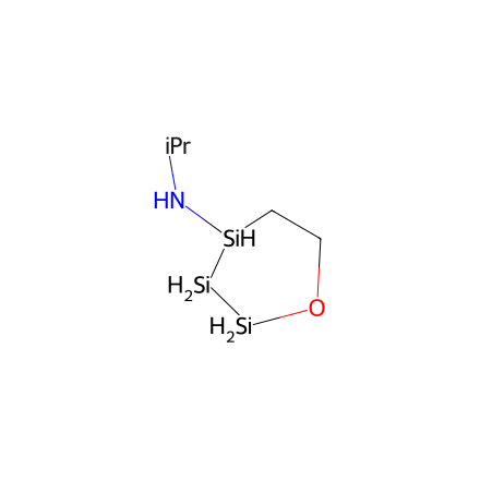 CC(C)N[SiH]1CCO[SiH2][SiH2]1